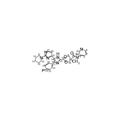 CC1(C(=O)Nc2cccnc2)COC(c2nc(-c3ccc(F)cc3)c(-c3ccnc(N4CCCCC4)n3)[nH]2)OC1